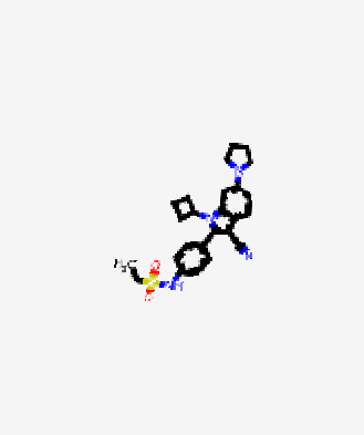 CCS(=O)(=O)Nc1ccc(-c2c(C#N)c3ccc(N4CCCC4)cc3n2C2CCC2)cc1